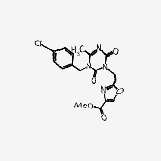 COC(=O)c1coc(Cn2c(=O)nc(C)n(Cc3ccc(Cl)cc3)c2=O)n1